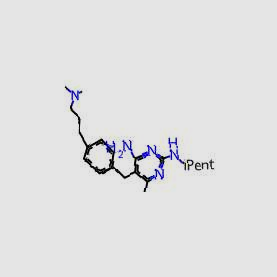 CCCC(C)Nc1nc(C)c(Cc2ccc(CCCN(C)C)cc2)c(N)n1